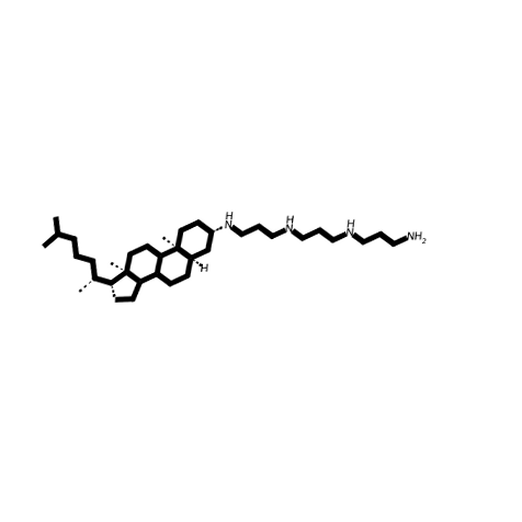 CC(C)CCC[C@@H](C)[C@H]1CCC2C3CC[C@@H]4C[C@@H](NCCCNCCCNCCCN)CC[C@]4(C)C3CC[C@@]21C